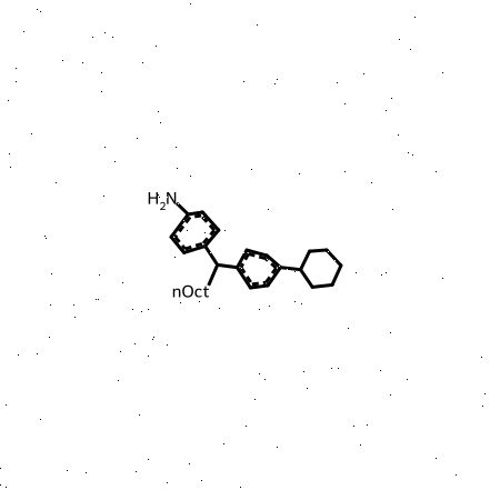 CCCCCCCCC(c1ccc(N)cc1)c1ccc(C2CCCCC2)cc1